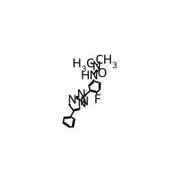 CN(C)C(=O)Nc1ccc(F)c(-c2nc3ncc(-c4ccccc4)cn3n2)c1